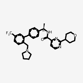 C[C@@H](NC(=O)c1ccnc(C2CCOCC2)n1)c1ccc(-c2cc(C(F)(F)F)ccc2CN2CCCC2)cc1